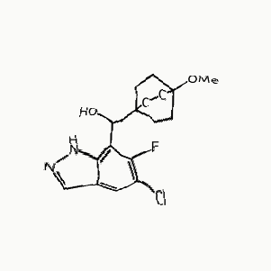 COC12CCC(C(O)c3c(F)c(Cl)cc4cn[nH]c34)(CC1)CC2